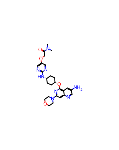 CN(C)C(=O)COc1cnc(N[C@H]2CC[C@@H](Oc3nc(N4CCOCC4)cc4ncc(N)cc34)CC2)nc1